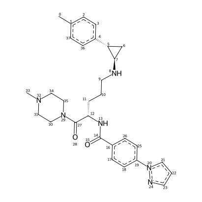 Cc1ccc([C@@H]2C[C@H]2NCCC[C@H](NC(=O)c2ccc(-n3cccn3)cc2)C(=O)N2CCN(C)CC2)cc1